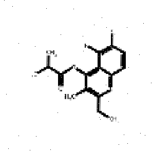 CCc1nc2ccc(F)c(F)c2c(OC(=O)C(C)C)c1C